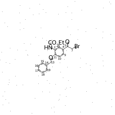 CCOC(=O)Nc1cc(C(=O)CBr)ccc1OCc1ccccc1